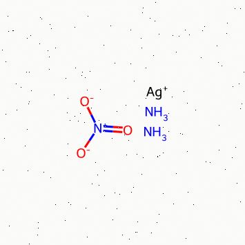 N.N.O=[N+]([O-])[O-].[Ag+]